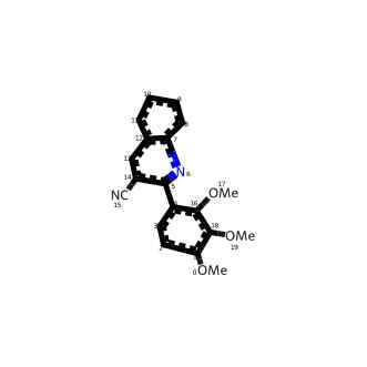 COc1ccc(-c2nc3ccccc3cc2C#N)c(OC)c1OC